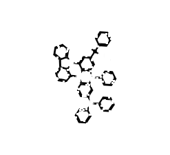 CC(C)(c1ccccc1)c1cc2c3c(c1)-n1c4ccccc4c4cccc(c41)B3c1ccc(N(c3ccccc3)c3ccccc3)cc1N2c1ccccc1